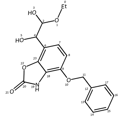 CCOC(O)C(O)c1ccc(OCc2ccccc2)c2[nH]c(=O)oc12